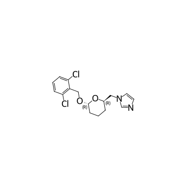 Clc1cccc(Cl)c1CO[C@H]1CCC[C@H](Cn2ccnc2)O1